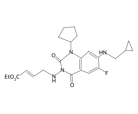 CCOC(=O)/C=C/CNn1c(=O)c2cc(F)c(NCC3CC3)cc2n(C2CCCC2)c1=O